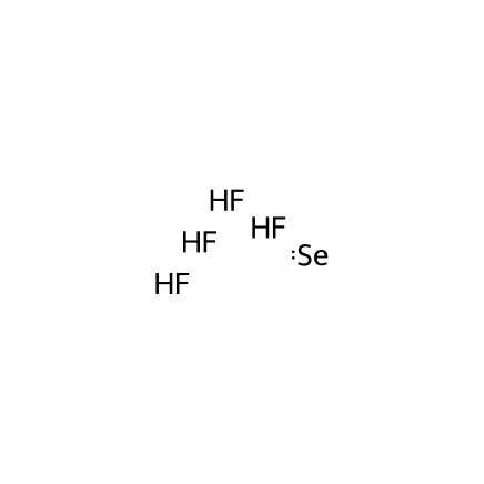 F.F.F.F.[Se]